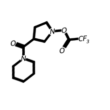 O=C(C1CCN(OC(=O)C(F)(F)F)C1)N1CCCCC1